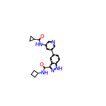 O=C(NC1CCC1)c1n[nH]c2ccc(-c3cncc(NC(=O)C4CC4)c3)cc12